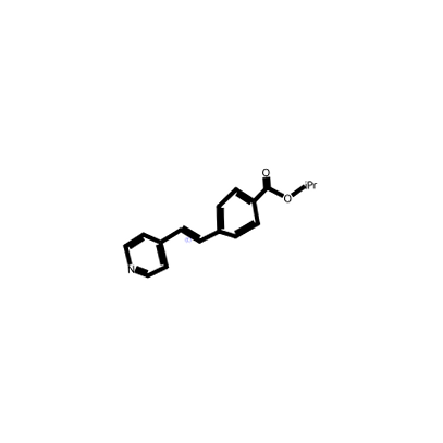 CC(C)OC(=O)c1ccc(/C=C/c2ccncc2)cc1